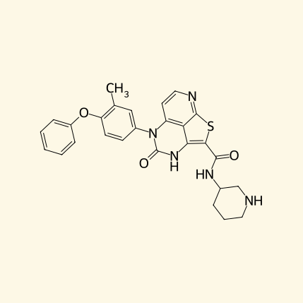 Cc1cc(N2C(=O)Nc3c(C(=O)NC4CCCNC4)sc4nccc2c34)ccc1Oc1ccccc1